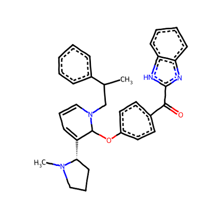 CC(CN1C=CC=C([C@@H]2CCCN2C)C1Oc1ccc(C(=O)c2nc3ccccc3[nH]2)cc1)c1ccccc1